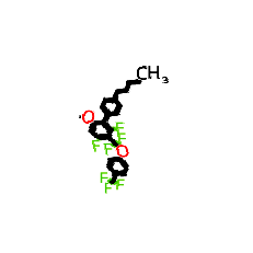 CCCCCc1ccc(-c2c([O])cc(F)c(C(F)(F)Oc3ccc(C(F)(F)F)cc3)c2F)cc1